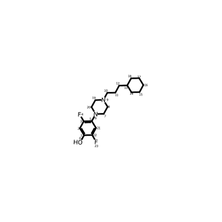 Oc1cc(F)c(N2CCN(CCCC3CCCCC3)CC2)cc1F